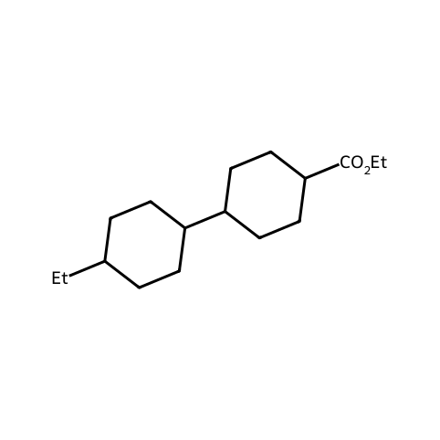 CCOC(=O)C1CCC(C2CCC(CC)CC2)CC1